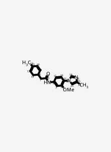 COc1cc(NC(=O)CC2C=CC(C)=CC2)ccc1-n1cnc(C)c1